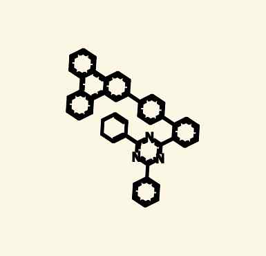 C1=CC(c2nc(-c3ccccc3)nc(-c3ccccc3-c3ccc(-c4ccc5c6ccccc6c6ccccc6c5c4)cc3)n2)=CCC1